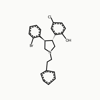 Oc1ccc(Cl)cc1[C@@H]1CN(CCc2ccccc2)C[C@H]1c1ccccc1Br